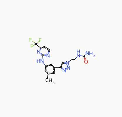 Cc1cc(Nc2nccc(C(F)(F)F)n2)cc(-c2cn(CCNC(N)=O)nn2)c1